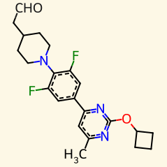 Cc1cc(-c2cc(F)c(N3CCC(CC=O)CC3)c(F)c2)nc(OC2CCC2)n1